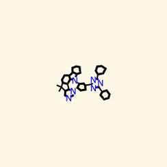 CC1(C)c2cncnc2-c2c1ccc1c3ccccc3n(-c3cccc(-c4nc(-c5ccccc5)nc(-c5ccccc5)n4)c3)c21